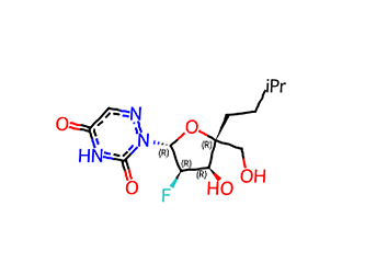 CC(C)CC[C@]1(CO)O[C@@H](n2ncc(=O)[nH]c2=O)[C@H](F)[C@@H]1O